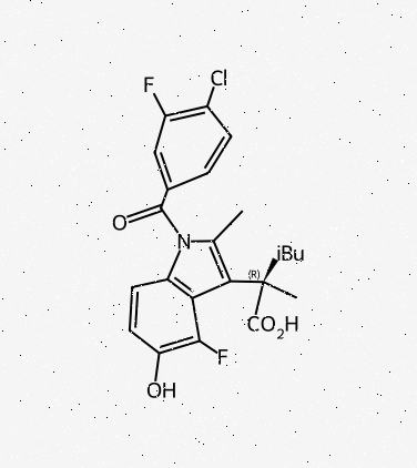 CCC(C)[C@@](C)(C(=O)O)c1c(C)n(C(=O)c2ccc(Cl)c(F)c2)c2ccc(O)c(F)c12